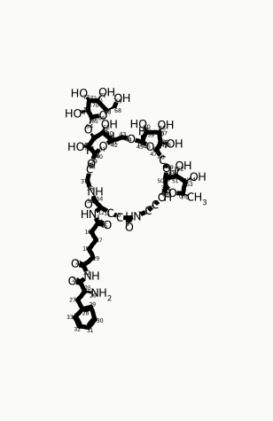 C[C@@H]1O[C@H]2OCCNC(=O)CCC(NC(=O)CCCCC(=O)NC(=O)[C@@H](N)Cc3ccccc3)C(=O)NCCO[C@H]3O[C@H](CO[C@H]4O[C@H](CO[C@H]2[C@H](O)[C@@H]1O)[C@@H](O)[C@H](O)[C@@H]4O)[C@@H](O)[C@H](O[C@H]1O[C@H](CO)[C@@H](O)[C@H](O)[C@@H]1O)[C@@H]3O